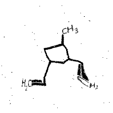 C=CC1CC(C)C1C=C